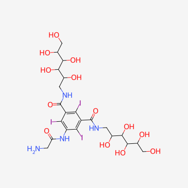 NCC(=O)Nc1c(I)c(C(=O)NCC(O)C(O)C(O)C(O)CO)c(I)c(C(=O)NCC(O)C(O)C(O)C(O)CO)c1I